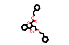 O=C(Cc1c(C(=O)OCCc2ccccc2)oc2ccccc2c1=O)OCCc1ccccc1